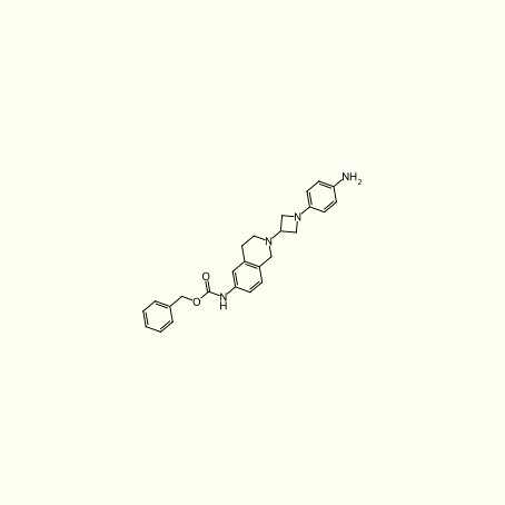 Nc1ccc(N2CC(N3CCc4cc(NC(=O)OCc5ccccc5)ccc4C3)C2)cc1